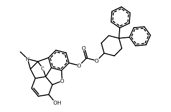 CN1C2C3C=CC(O)C4Oc5c(OC(=O)OC6CCC(c7ccccc7)(c7ccccc7)CC6)ccc6c5C34CC621